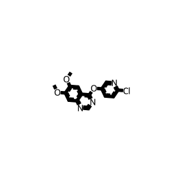 COc1cc2ncnc(Oc3ccc(Cl)nc3)c2cc1OC